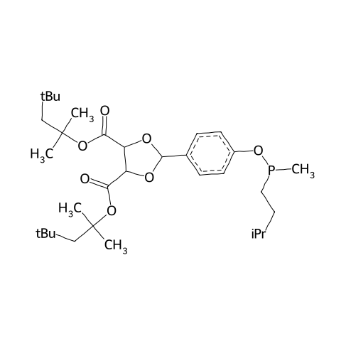 CC(C)CCP(C)Oc1ccc(C2OC(C(=O)OC(C)(C)CC(C)(C)C)C(C(=O)OC(C)(C)CC(C)(C)C)O2)cc1